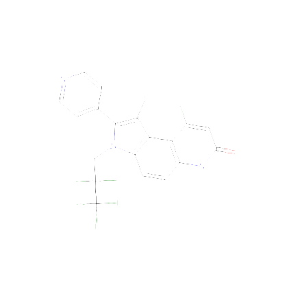 Cc1c(-c2ccncc2)n(CC(F)(F)C(F)(F)F)c2ccc3[nH]c(=O)cc(Cl)c3c12